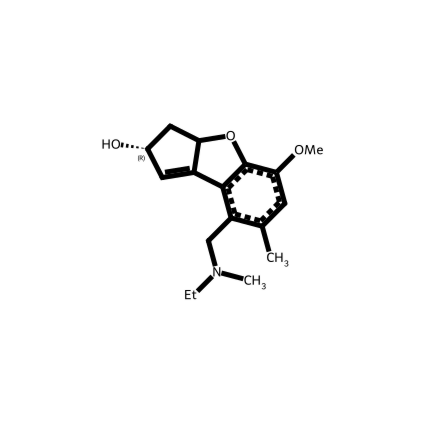 CCN(C)Cc1c(C)cc(OC)c2c1C1=C[C@H](O)CC1O2